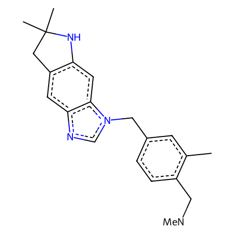 CNCc1ccc(Cn2cnc3cc4c(cc32)NC(C)(C)C4)cc1C